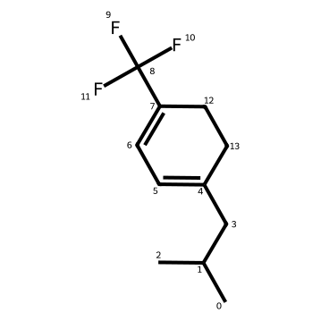 CC(C)CC1=CC=C(C(F)(F)F)CC1